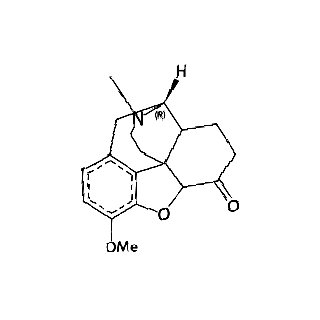 COc1ccc2c3c1OC1C(=O)CCC4[C@@H](C2)N(C)CCC314